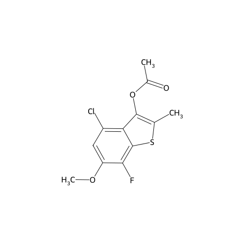 COc1cc(Cl)c2c(OC(C)=O)c(C)sc2c1F